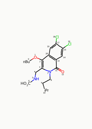 CCCCOc1c(CNC(=O)O)n(CCC(C)C)c(=O)c2cc(Cl)c(Cl)cc12